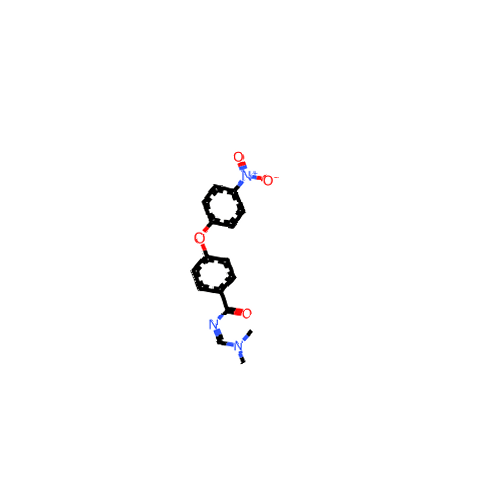 CN(C)/C=N\C(=O)c1ccc(Oc2ccc([N+](=O)[O-])cc2)cc1